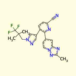 Cc1nc2cc(-c3nc(C#N)ccc3-c3cnn(CC(C)(C)C(F)(F)F)c3)ccn2n1